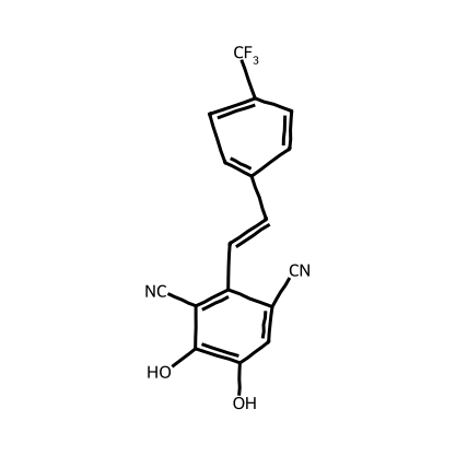 N#Cc1cc(O)c(O)c(C#N)c1C=Cc1ccc(C(F)(F)F)cc1